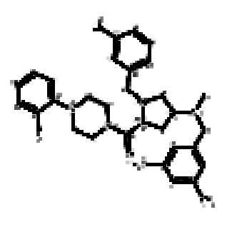 CN(Cc1cc(C(F)(F)F)cc(C(F)(F)F)c1)[C@H]1C[C@@H](C(=O)N2CCN(c3ccccc3F)CC2)N(Cc2cccc(Cl)c2)C1